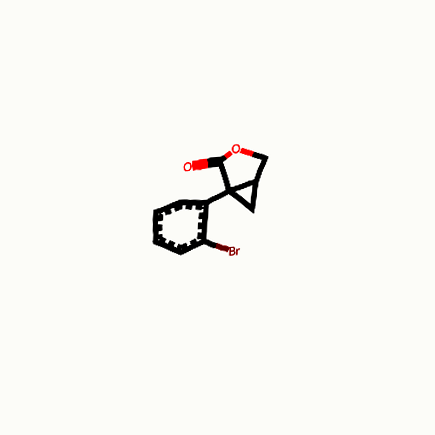 O=C1OCC2CC12c1ccccc1Br